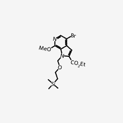 CCOC(=O)c1cc2c(Br)cnc(OC)c2n1COCC[Si](C)(C)C